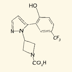 O=C(O)N1CC(n2nccc2-c2cc(C(F)(F)F)ccc2O)C1